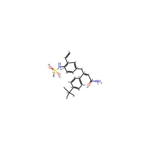 C=Cc1cc(CC(=CC(N)=O)c2ccc(C(C)(C)C)cc2)ccc1NS(C)(=O)=O